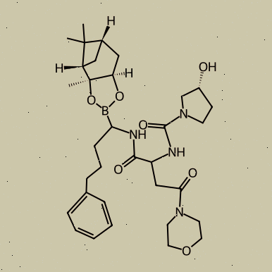 CC1(C)[C@@H]2C[C@H]3OB(C(CCCc4ccccc4)NC(=O)C(CC(=O)N4CCOCC4)NC(=O)N4CC[C@@H](O)C4)O[C@@]3(C)[C@H]1C2